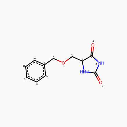 O=C1NC(=O)C(COCc2ccccc2)N1